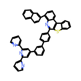 c1ccc(-c2cc(-c3cccc(-c4ccc(-c5nc6c(-c7ccc8ccccc8c7)cccc6c6c5sc5ccccc56)cc4)c3)cc(-c3ccccn3)n2)nc1